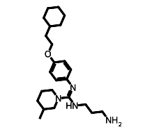 CC1CCCN(/C(=N\c2ccc(OCCC3CCCCC3)cc2)NCCCN)C1